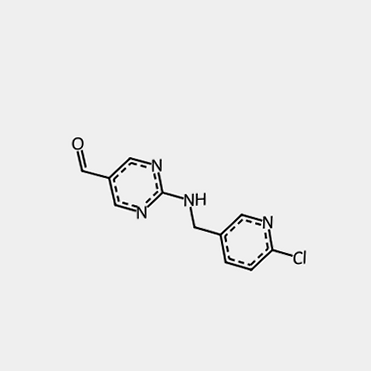 O=Cc1cnc(NCc2ccc(Cl)nc2)nc1